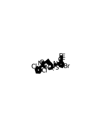 C[C@@H]1CN(Cc2c(-c3c(Cl)cccc3Cl)noc2C2CC2)CCN1c1nc2c(OC(F)(F)F)cc(Br)cc2s1